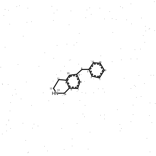 c1ccc(Cc2ccc3c(c2)CCNC3)cc1